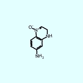 Nc1ccc2c(c1)NCC=[N+]2[O-]